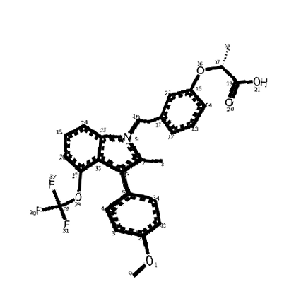 COc1ccc(-c2c(C)n(Cc3cccc(O[C@H](C)C(=O)O)c3)c3cccc(OC(F)(F)F)c23)cc1